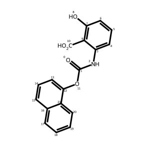 O=C(Nc1cccc(O)c1C(=O)O)Oc1cccc2ccccc12